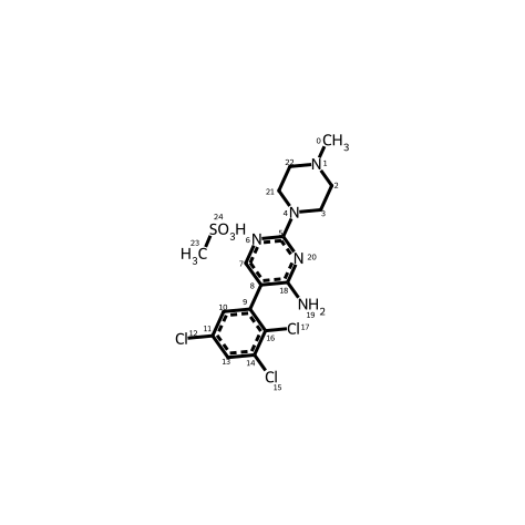 CN1CCN(c2ncc(-c3cc(Cl)cc(Cl)c3Cl)c(N)n2)CC1.CS(=O)(=O)O